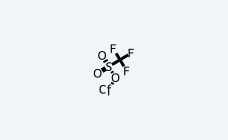 O=S(=O)([O][Cf])C(F)(F)F